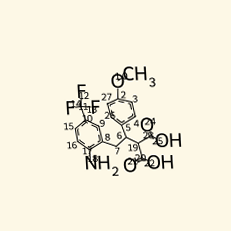 COc1ccc(C(Cc2cc(C(F)(F)F)ccc2N)C(C(=O)O)C(=O)O)cc1